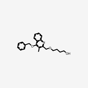 Cc1c(COCCCCO)nc2ccccc2c1OCc1ccccc1